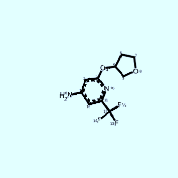 Nc1cc(OC2CCOC2)nc(C(F)(F)F)c1